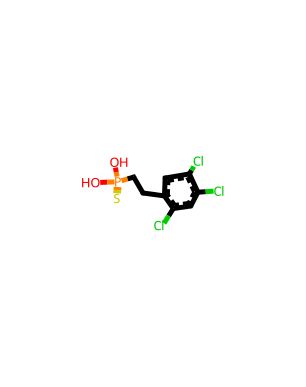 OP(O)(=S)CCc1cc(Cl)c(Cl)cc1Cl